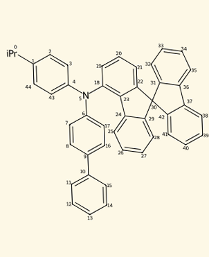 CC(C)c1ccc(N(c2ccc(-c3ccccc3)cc2)c2cccc3c2-c2ccccc2C32c3ccccc3-c3ccccc32)cc1